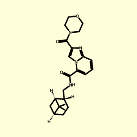 CC1(C)[C@H]2CC[C@@H](CNC(=O)c3cccc4nc(C(=O)N5CCOCC5)cn34)[C@@H]1C2